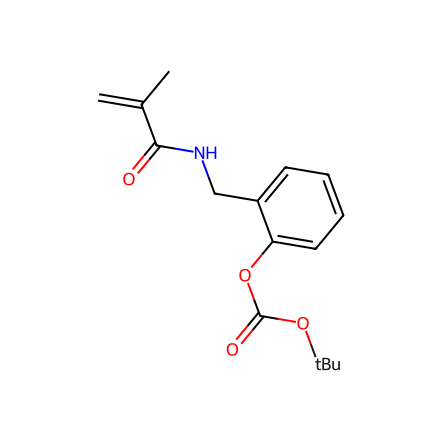 C=C(C)C(=O)NCc1ccccc1OC(=O)OC(C)(C)C